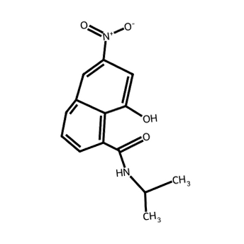 CC(C)NC(=O)c1cccc2cc([N+](=O)[O-])cc(O)c12